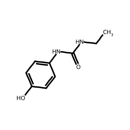 CCNC(=O)Nc1ccc(O)cc1